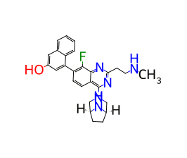 CNCCc1nc(N2C[C@H]3CC[C@@H](C2)N3)c2ccc(-c3cc(O)cc4ccccc34)c(F)c2n1